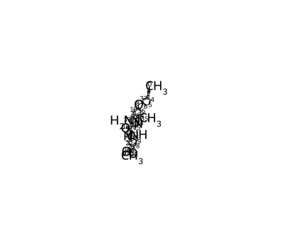 CC#Cc1cccc(Oc2ccc(-n3ncc(C(=O)c4nc5cc(C(=O)OC)ccc5[nH]4)c3N)c(C)c2)c1